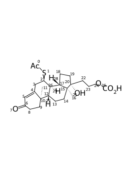 CC(=O)S[C@@H]1CC2=CC(=O)CC[C@]2(C)[C@H]2CC[C@@]3(C)[C@@H](CC[C@@]3(O)CCOC(=O)O)[C@H]12